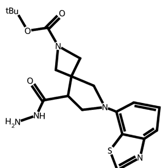 CC(C)(C)OC(=O)N1CC2(C1)CN(c1cccc3ncsc13)CC2C(=O)NN